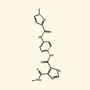 CNC(=O)c1nc[nH]c1C(=O)Nc1ccc(NC(=O)c2ccn(C)n2)cc1